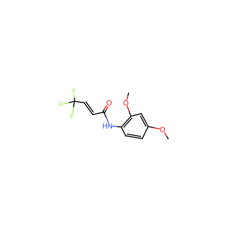 COc1ccc(NC(=O)C=CC(F)(F)F)c(OC)c1